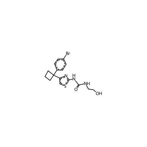 O=C(NCCO)Nc1nc(C2(c3ccc(Br)cc3)CCC2)cs1